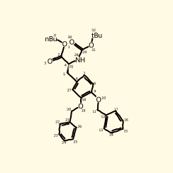 CCCCOC(=O)[C@H](Cc1ccc(OCc2ccccc2)c(OCc2ccccc2)c1)NC(=O)OC(C)(C)C